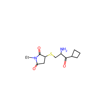 CCN1C(=O)CC(SCC(N)C(=O)C2CCC2)C1=O